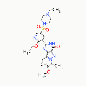 CCOc1ncc(S(=O)(=O)N2CCN(CC)CC2)cc1-c1nc2c(CC)n([C@H](C)COC)nc2c(=O)[nH]1